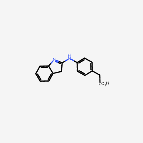 O=C(O)Cc1ccc(NC2=Nc3ccccc3C2)cc1